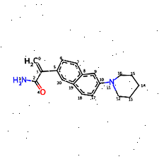 C=C(C(N)=O)c1ccc2cc(N3CCCCC3)ccc2c1